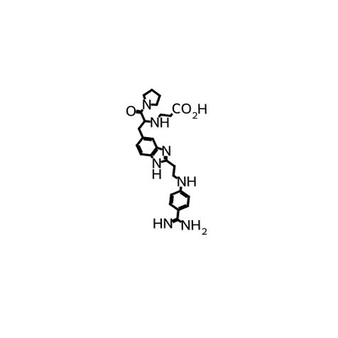 N=C(N)c1ccc(NCCc2nc3cc(CC(NCCC(=O)O)C(=O)N4CCCC4)ccc3[nH]2)cc1